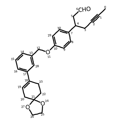 CC#CCC(CC=O)c1ccc(OCc2cccc(C3=CCC4(CC3)OCCO4)c2)cc1